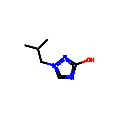 CC(C)Cn1cnc(O)n1